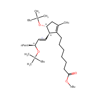 CCCCC[C@@H](/C=C/[C@@H]1C(CCCCCCC(=O)OCCCC)=C(OC(C)=O)C[C@H]1O[Si](C)(C)C(C)(C)C)O[Si](C)(C)C(C)(C)C